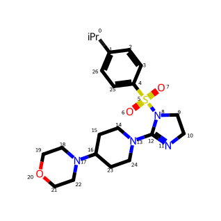 CC(C)c1ccc(S(=O)(=O)N2CCN=C2N2CCC(N3CCOCC3)CC2)cc1